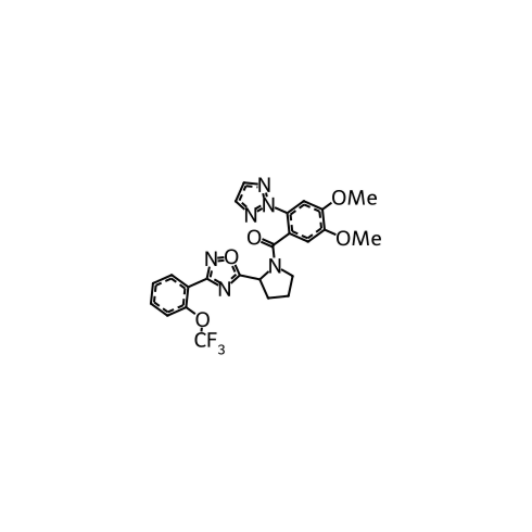 COc1cc(C(=O)N2CCCC2c2nc(-c3ccccc3OC(F)(F)F)no2)c(-n2nccn2)cc1OC